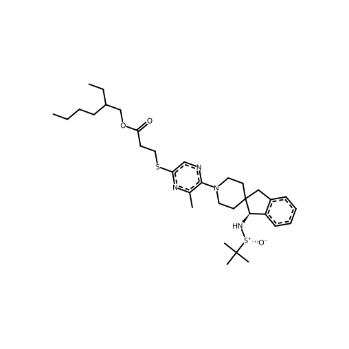 CCCCC(CC)COC(=O)CCSc1cnc(N2CCC3(CC2)Cc2ccccc2[C@H]3N[S@+]([O-])C(C)(C)C)c(C)n1